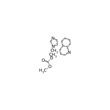 COC(=O)OC.Cn1ccnc1.c1ccc2ncccc2c1